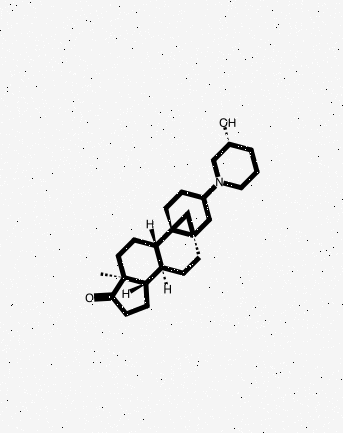 C[C@]12CC[C@H]3[C@@H](CC[C@]45CC(N6CCC[C@@H](O)C6)CC[C@]34C5)[C@@H]1CCC2=O